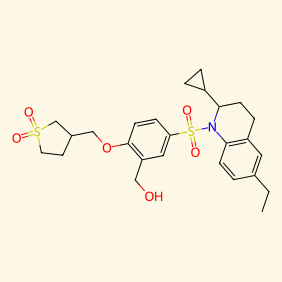 CCc1ccc2c(c1)CCC(C1CC1)N2S(=O)(=O)c1ccc(OCC2CCS(=O)(=O)C2)c(CO)c1